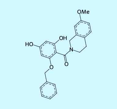 COc1ccc2c(c1)CN(C(=O)c1c(O)cc(O)cc1OCc1ccccc1)CC2